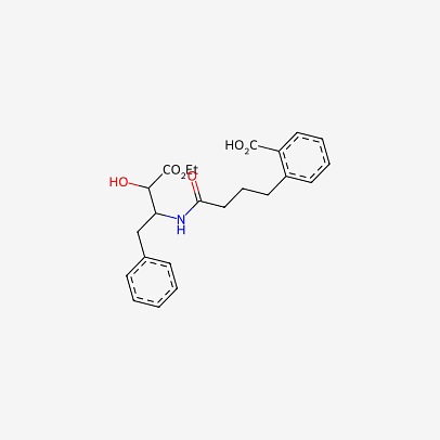 CCOC(=O)C(O)C(Cc1ccccc1)NC(=O)CCCc1ccccc1C(=O)O